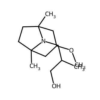 COC1CC2(C)CCC(C)(C1)N2CC(C)CO